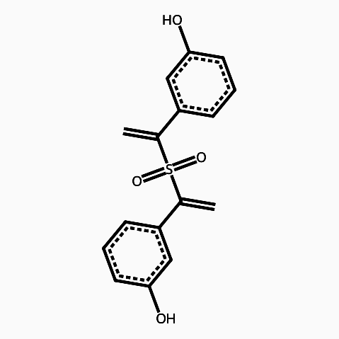 C=C(c1cccc(O)c1)S(=O)(=O)C(=C)c1cccc(O)c1